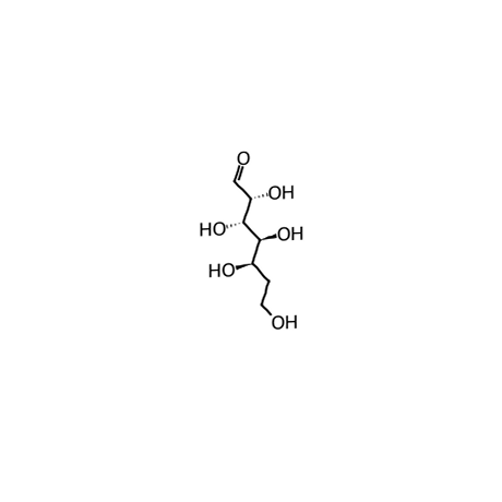 O=C[C@H](O)[C@@H](O)[C@@H](O)[C@H](O)CCO